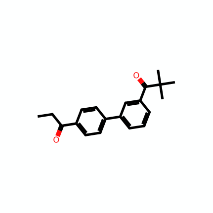 CCC(=O)c1ccc(-c2cccc(C(=O)C(C)(C)C)c2)cc1